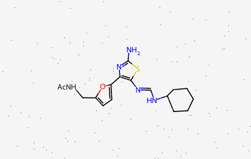 CC(=O)NCc1ccc(-c2nc(N)sc2N=CNC2CCCCC2)o1